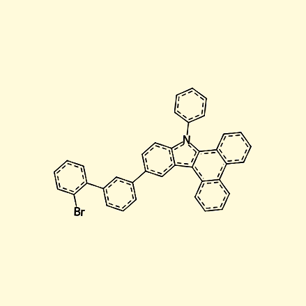 Brc1ccccc1-c1cccc(-c2ccc3c(c2)c2c4ccccc4c4ccccc4c2n3-c2ccccc2)c1